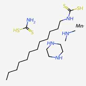 C1CNCCN1.CCCCCCCCCCCCNC(=S)S.CNC.NC(=S)S.[Mn]